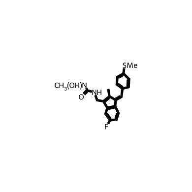 CSc1ccc(C=C2C(C)=C(CNC(=O)N(C)O)c3cc(F)ccc32)cc1